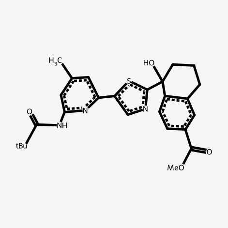 COC(=O)c1ccc2c(c1)CCCC2(O)c1ncc(-c2cc(C)cc(NC(=O)C(C)(C)C)n2)s1